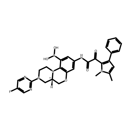 Cc1cc(-c2ccccc2)c(C(=O)C(=O)Nc2cc3c(c(B(O)O)c2)N2CCN(c4ncc(F)cn4)C[C@H]2CO3)n1C